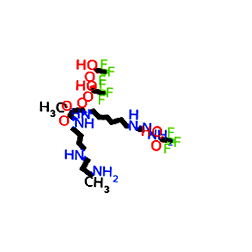 COC(C(=O)NCCCCCCNC=NN)C(=O)NCCCCNCCC(C)N.O=C(O)C(F)(F)F.O=C(O)C(F)(F)F.O=C(O)C(F)(F)F